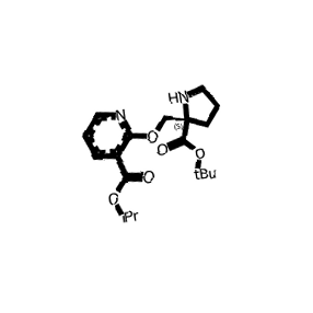 CC(C)OC(=O)c1cccnc1OC[C@]1(C(=O)OC(C)(C)C)CCCN1